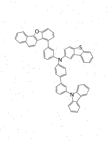 c1cc(-c2cccc3oc4c5ccccc5ccc4c23)cc(N(c2ccc(-c3cccc(-n4c5ccccc5c5ccccc54)c3)cc2)c2ccc3sc4ccccc4c3c2)c1